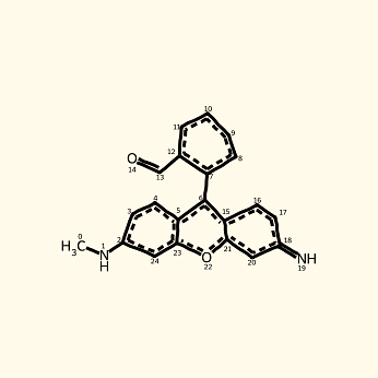 CNc1ccc2c(-c3ccccc3C=O)c3ccc(=N)cc-3oc2c1